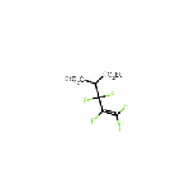 CCOC(=O)C(C(=O)OCC)C(F)(F)C(F)=C(F)F